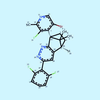 CC1(C)[C@H]2CC[C@]1(c1c(Br)cnc(C#N)c1F)c1nnc(-c3c(F)cccc3F)cc12